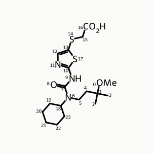 COC(C)(C)CCN(C(=O)Nc1ncc(SCC(=O)O)s1)C1CCCCC1